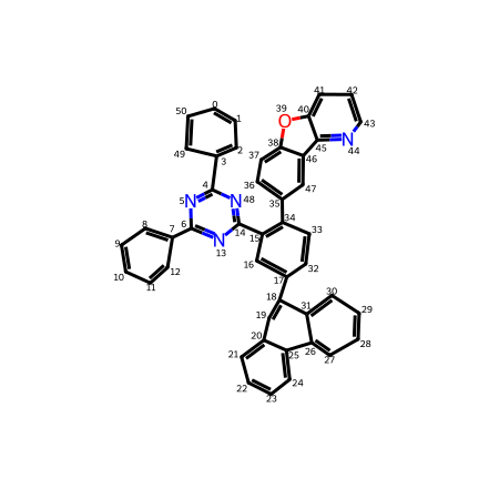 c1ccc(-c2nc(-c3ccccc3)nc(-c3cc(-c4cc5ccccc5c5ccccc45)ccc3-c3ccc4oc5cccnc5c4c3)n2)cc1